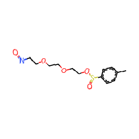 Cc1ccc(S(=O)OCCOCCOCCN=O)cc1